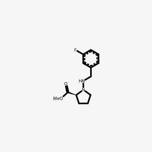 COC(=O)[C@@H]1CCCN1NCc1cccc(F)c1